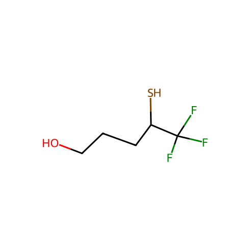 OCCCC(S)C(F)(F)F